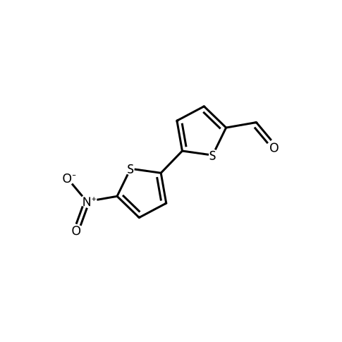 O=Cc1ccc(-c2ccc([N+](=O)[O-])s2)s1